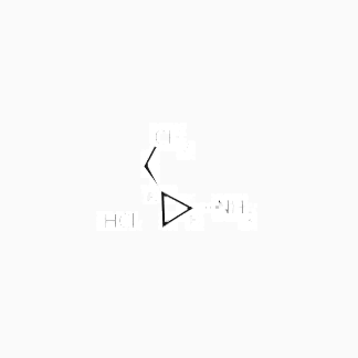 CC[C@@H]1C[C@H]1N.Cl